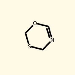 C1=NCSCO1